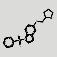 O=S(=O)(c1ccccc1)n1ccc2cc(OCC3CCCN3)ccc21